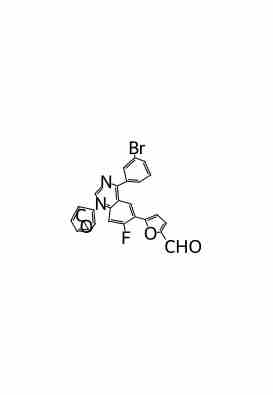 O=Cc1ccc(-c2cc3c(-c4cccc(Br)c4)ncnc3cc2F)o1.c1cc2ccc1CO2